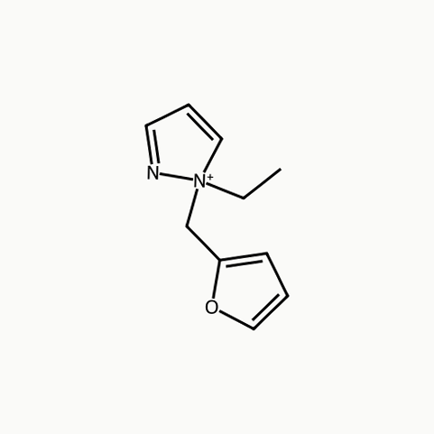 CC[N+]1(Cc2ccco2)C=CC=N1